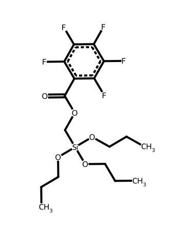 CCCO[Si](COC(=O)c1c(F)c(F)c(F)c(F)c1F)(OCCC)OCCC